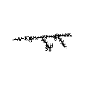 CCCCCCCCCOC(=O)CCCCCCCC(CCCCCCCC(=O)OC(CCCCCCCC)CCCCCCCC)CCCCCNC(=S)C(C)C